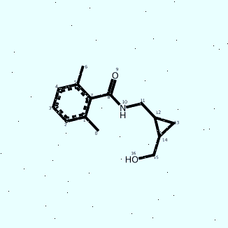 Cc1cccc(C)c1C(=O)NCC1CC1CO